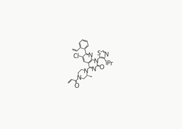 C=CC(=O)N1CCN(c2nc(=O)n(-c3scnc3C(C)C)c3nc(-c4ccccc4C=C)c(Cl)cc23)[C@@H](C)C1